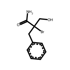 NC(=O)C(Br)(CO)Cc1ccccc1